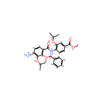 COC(=O)c1ccc(NC(=O)c2ccc(N)c(OC(C)C)c2OCc2ccccc2)c(OC(C)C)c1